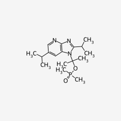 CC(C)c1cnc2nc(C(C)C)n(C(C)(C)OP(C)(C)=O)c2c1